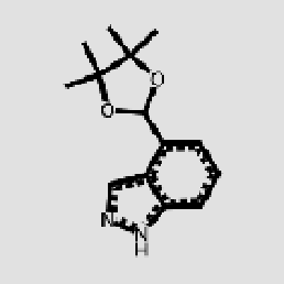 CC1(C)OC(c2cccc3[nH]ncc23)OC1(C)C